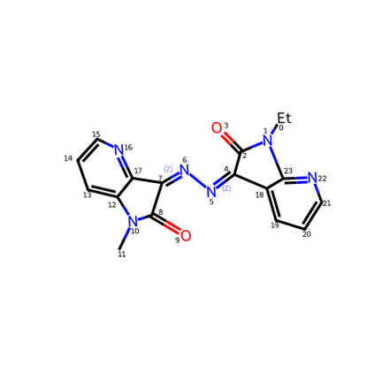 CCN1C(=O)/C(=N\N=C2/C(=O)N(C)c3cccnc32)c2cccnc21